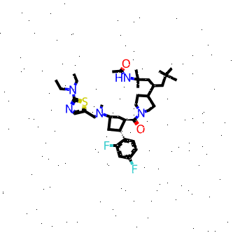 CCN(CC)c1ncc(CN(C)C2C[C@@H](C(=O)N3CCC(C(CC(C)(C)C)CC(C)(C)NC(C)=O)CC3)[C@H](c3ccc(F)cc3F)C2)s1